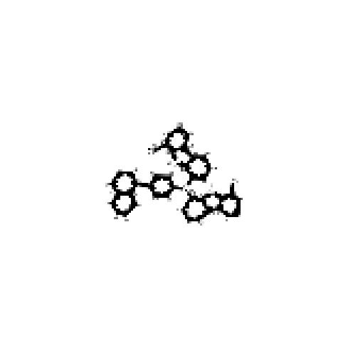 Fc1cccc2c1sc1c(N(c3ccc(-c4cccc5ccccc45)cc3)c3cccc4c3sc3c(Cl)cccc34)cccc12